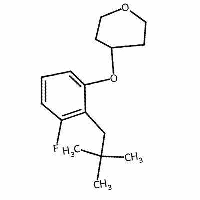 CC(C)(C)Cc1c(F)cccc1OC1CCOCC1